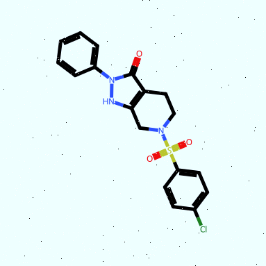 O=c1c2c([nH]n1-c1ccccc1)CN(S(=O)(=O)c1ccc(Cl)cc1)CC2